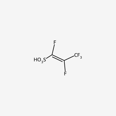 O=S(=O)(O)C(F)=C(F)C(F)(F)F